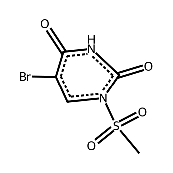 CS(=O)(=O)n1cc(Br)c(=O)[nH]c1=O